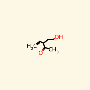 C=CC(CCO)C(C)=O